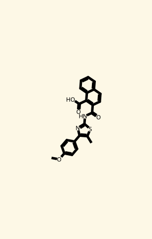 COc1ccc(-c2nc(NC(=O)c3ccc4ccccc4c3C(=O)O)sc2C)cc1